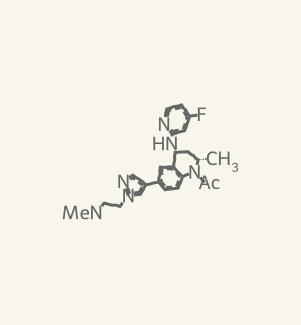 CNCCn1cc(-c2ccc3c(c2)[C@H](Nc2cc(F)ccn2)C[C@H](C)N3C(C)=O)cn1